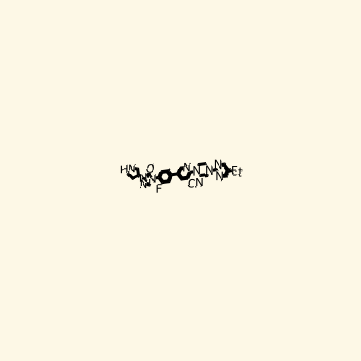 CCc1cnc(N2CCN(c3ncc(-c4ccc(-n5cnn(C6CCNC6)c5=O)c(F)c4)cc3C#N)CC2)nc1